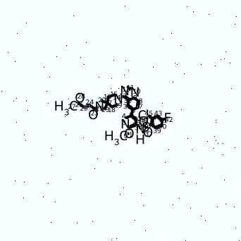 COc1ncc(-c2ccc3ncnc(N4CCC5(CC4)CN(C(=O)/C=C/C(C)=O)C5)c3c2)cc1NS(=O)(=O)c1ccc(F)cc1Cl